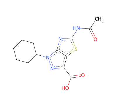 CC(=O)Nc1nc2c(s1)c(C(=O)O)nn2C1CCCCC1